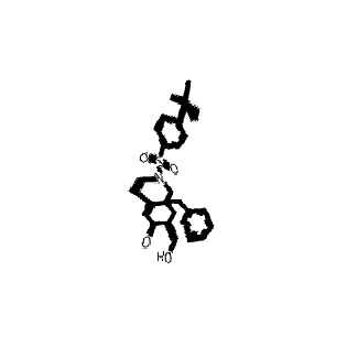 CC(C)(C)c1ccc(S(=O)(=O)N2CCC3=CC(=O)/C(=C\O)CC3(Cc3ccccc3)C2)cc1